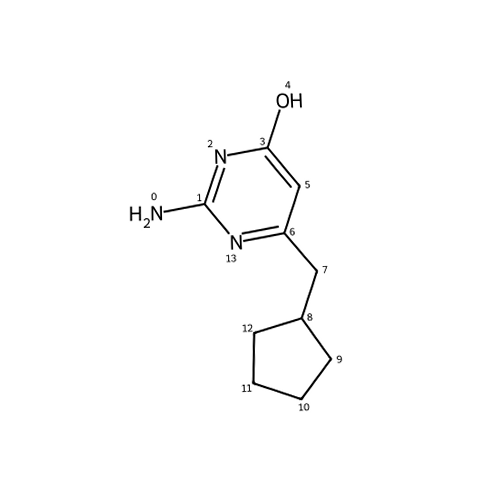 Nc1nc(O)cc(CC2CCCC2)n1